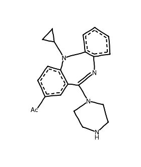 CC(=O)c1ccc2c(c1)C(N1CCNCC1)=Nc1ccccc1N2C1CC1